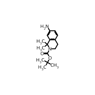 CC(C)(C)OC(=O)N1CCc2ccc(N)cc2C1(C)C